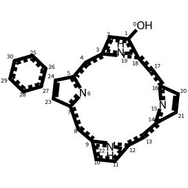 Oc1cc2cc3nc(cc4ccc(cc5nc(cc1[nH]2)C=C5)[nH]4)C=C3.c1ccccc1